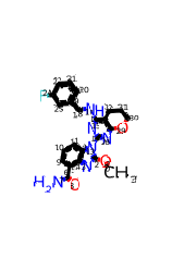 COc1nc2c(C(N)=O)cccc2n1-c1nc(NCc2cccc(F)c2)c2c(n1)OCCC2